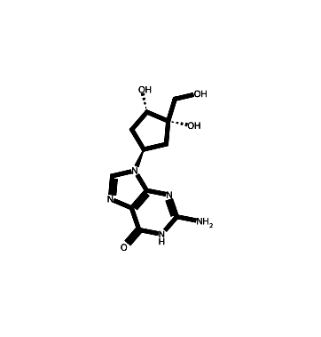 Nc1nc2c(ncn2[C@H]2C[C@H](O)[C@@](O)(CO)C2)c(=O)[nH]1